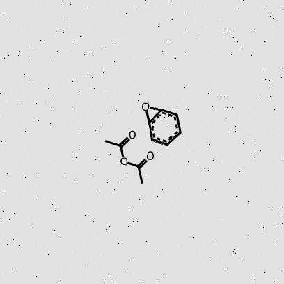 CC(=O)OC(C)=O.c1ccc2c(c1)O2